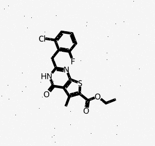 CCOC(=O)c1sc2nc(Cc3c(F)cccc3Cl)[nH]c(=O)c2c1C